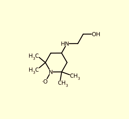 CC1(C)CC(NCCO)CC(C)(C)N1[O]